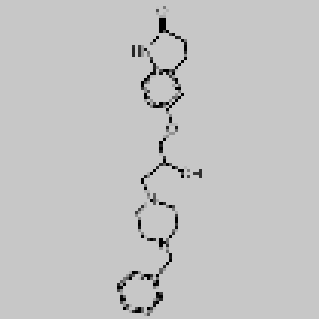 O=C1CCc2cc(OCC(O)CN3CCN(Cc4ccccc4)CC3)ccc2N1